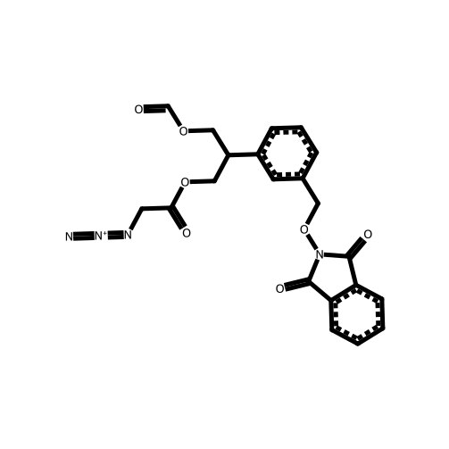 [N-]=[N+]=NCC(=O)OCC(COC=O)c1cccc(CON2C(=O)c3ccccc3C2=O)c1